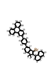 CC1(C)C(c2cccc3ccccc23)=C(Br)c2cc(-c3ccc(-c4ccc5c6ccccc6c6ccccc6c5c4)cc3)ccc21